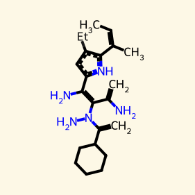 C=C(N)/C(=C(/N)c1cc(CC)c(/C(C)=C\C)[nH]1)N(N)C(=C)C1CCCCC1